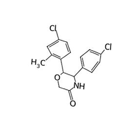 Cc1cc(Cl)ccc1C1OCC(=O)NC1c1ccc(Cl)cc1